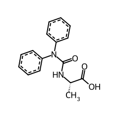 C[C@H](NC(=O)N(c1ccccc1)c1ccccc1)C(=O)O